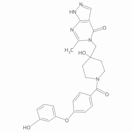 Cc1nc2[nH]ncc2c(=O)n1CC1(O)CCN(C(=O)c2ccc(Oc3cccc(O)c3)cc2)CC1